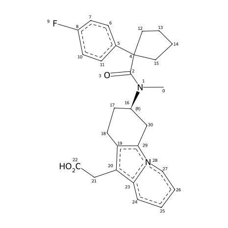 CN(C(=O)C1(c2ccc(F)cc2)CCCC1)[C@@H]1CCc2c(CC(=O)O)c3ccccn3c2C1